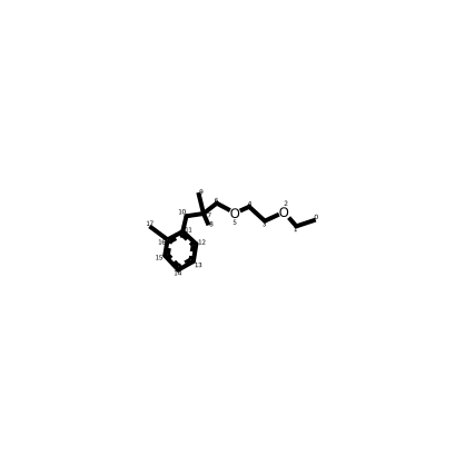 CCOCCOCC(C)(C)Cc1ccccc1C